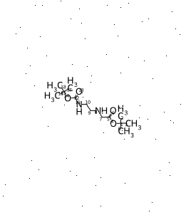 CC(C)(C)OC(=O)CNCCNC(=O)OC(C)(C)C